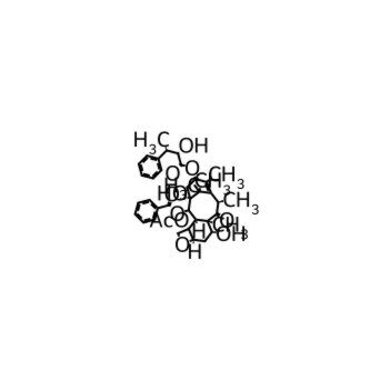 CC(=O)O[C@@]12CO[C@@H]1C[C@H](O)[C@@]1(C)C(=O)[C@H](C)C3=C(C)[C@@H](OC(=O)[C@H](O)[C@@H](C)c4ccccc4)C[C@@](O)(C(OC(=O)c4ccccc4)[C@H]21)C3(C)C